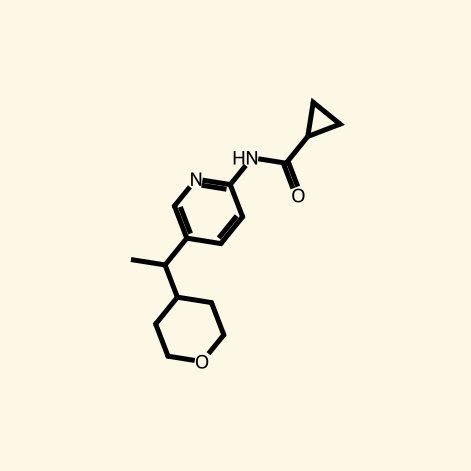 CC(c1ccc(NC(=O)C2CC2)nc1)C1CCOCC1